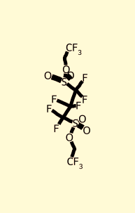 O=S(=O)(OCC(F)(F)F)C(F)(F)C(F)(F)C(F)(F)S(=O)(=O)OCC(F)(F)F